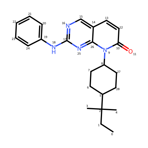 CCC(C)(C)C1CCC(n2c(=O)ccc3cnc(Nc4ccccc4)nc32)CC1